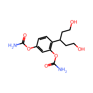 NC(=O)Oc1ccc(C(CCO)CCO)c(OC(N)=O)c1